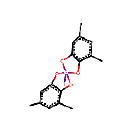 Cc1cc(C)c2c(c1)OP1(I)(Oc3cc(C)cc(C)c3O1)O2